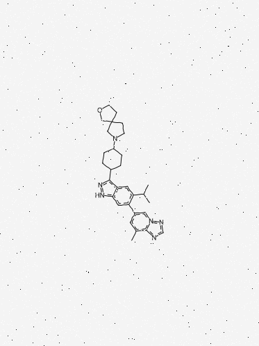 Cc1cc(-c2cc3[nH]nc(C4CCC(N5CCC6(CCOC6)C5)CC4)c3cc2C(C)C)cn2ncnc12